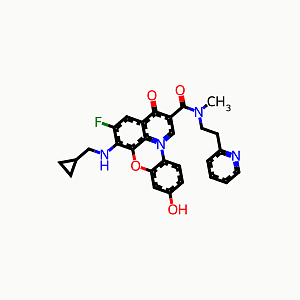 CN(CCc1ccccn1)C(=O)c1cn2c3c(c(NCC4CC4)c(F)cc3c1=O)Oc1cc(O)ccc1-2